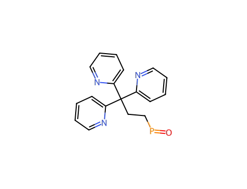 O=PCCC(c1ccccn1)(c1ccccn1)c1ccccn1